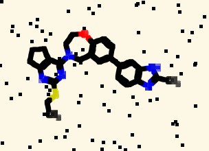 CCSc1nc2c(c(N3CCOc4ccc(-c5ccc6nc(C)[nH]c6c5)cc4C3)n1)CCC2